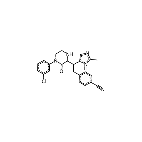 Cc1ncc(C(Cc2ccc(C#N)cc2)C2NCCN(c3cccc(Cl)c3)C2=O)[nH]1